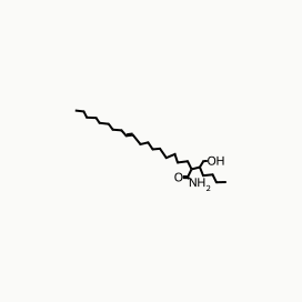 CCCCCCCCC=CCCCCCCCCC(C(N)=O)C(CO)CCCC